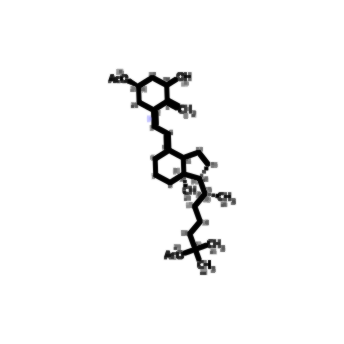 C=C1/C(=C\C=C2CCC[C@@]3(C)C2CC[C@@H]3[C@H](C)CCCC(C)(C)OC(C)=O)C[C@@H](OC(C)=O)CC1O